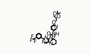 CC1(C)OCC(COc2ccc(NC(=O)N3c4nc(-c5cccc(C(F)(F)F)c5)ncc4N4CCC[C@H]3C4)cn2)O1